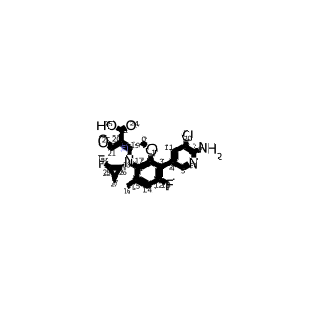 COc1c(-c2cnc(N)c(Cl)c2)c(F)cc(C)c1N(/C=C(\C=O)C(=O)O)[C@@H]1CC1F